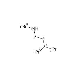 CCCCNCCC(C(C)C)C(C)C